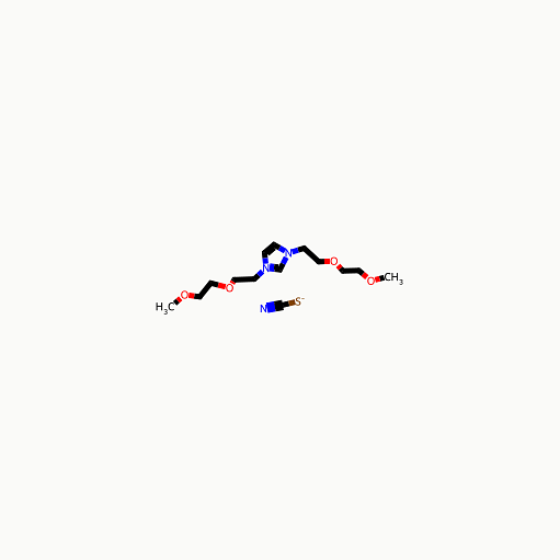 COCCOCCn1cc[n+](CCOCCOC)c1.N#C[S-]